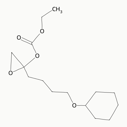 CCOC(=O)OC1(CCCCOC2CCCCC2)CO1